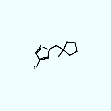 CC1(Cn2cc(Br)cn2)CCCC1